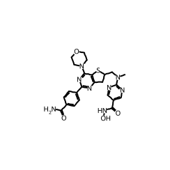 CN(CC1Cc2nc(-c3ccc(C(N)=O)cc3)nc(N3CCOCC3)c2S1)c1ncc(C(=O)NO)cn1